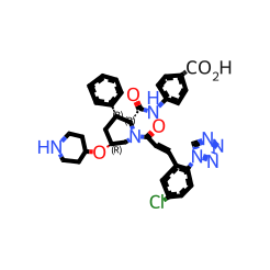 O=C(O)c1ccc(NC(=O)[C@H]2[C@@H](c3ccccc3)C[C@@H](OC3CCNCC3)CN2C(=O)C=Cc2cc(Cl)ccc2-n2cnnn2)cc1